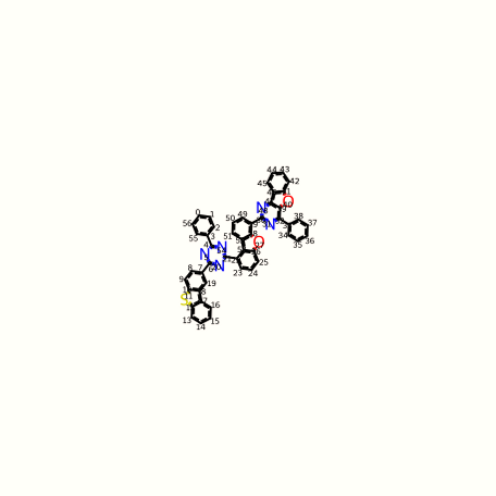 c1ccc(-c2nc(-c3ccc4sc5ccccc5c4c3)nc(-c3cccc4oc5c(-c6nc(-c7ccccc7)c7oc8ccccc8c7n6)cccc5c34)n2)cc1